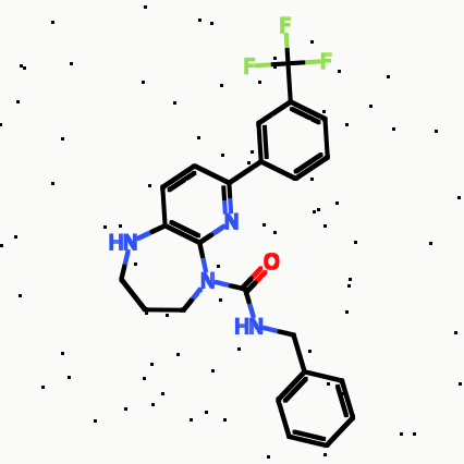 O=C(NCc1ccccc1)N1CCCNc2ccc(-c3cccc(C(F)(F)F)c3)nc21